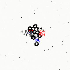 B=c1c(-c2ccccc2-c2ccccc2)c2c(B)c(O)c(O)c(B)c2c(-c2cccc(-n3c(-c4ccccc4)nc4ccccc43)c2)/c1=C(B)/C(B)=C(/B)C